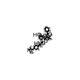 Cc1ncsc1-c1ccc([C@H](C)NC(=O)[C@@H]2C[C@@H](O)CN2C(=O)[C@@H](NC(=O)C2=CCC#CC2)C(C)(C)C)cc1